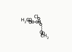 C=CC(=O)OCCCCCc1ccc(N(Cc2ccc(Cl)cc2)c2ccc(-c3ccc(OC(=O)C=C)cc3)cc2)cc1